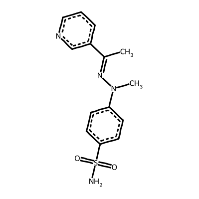 C/C(=N\N(C)c1ccc(S(N)(=O)=O)cc1)c1cccnc1